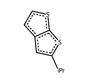 CC(C)c1cc2ccsc2s1